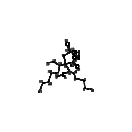 CCCCCC(CC)C(CC(=O)O)(C(=O)O)C(CC)CCCCC